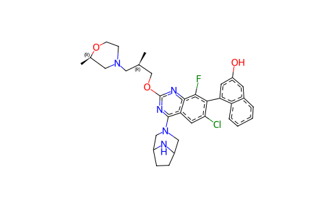 C[C@@H](COc1nc(N2CC3CCC(C2)N3)c2cc(Cl)c(-c3cc(O)cc4ccccc34)c(F)c2n1)CN1CCO[C@H](C)C1